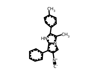 [C-]#[N+]c1cn2c(C)c(-c3ccc(C)cc3)[nH]c2c1-c1ccccc1